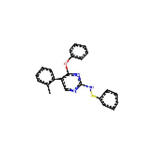 Cc1ccccc1-c1cnc(NSc2ccccc2)nc1Oc1ccccc1